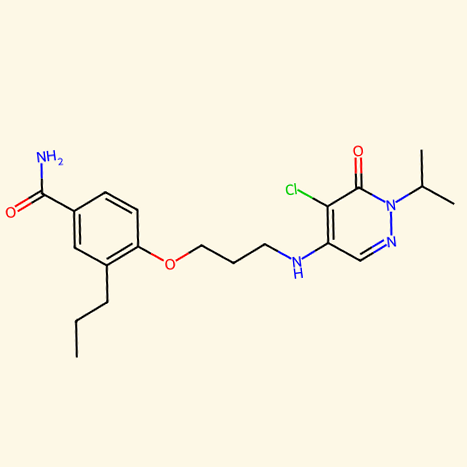 CCCc1cc(C(N)=O)ccc1OCCCNc1cnn(C(C)C)c(=O)c1Cl